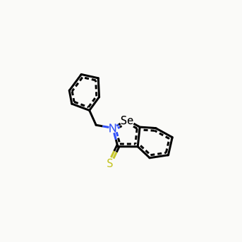 S=c1c2ccccc2[se]n1Cc1ccccc1